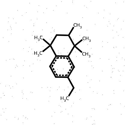 CCc1ccc2c(c1)C(C)(C)C(C)CC2(C)C